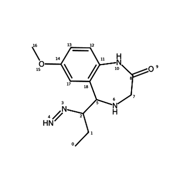 CCC(N=N)C1NCC(=O)Nc2ccc(OC)cc21